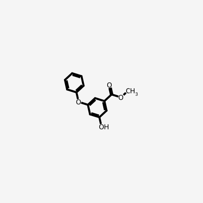 COC(=O)c1cc(O)cc(Oc2ccccc2)c1